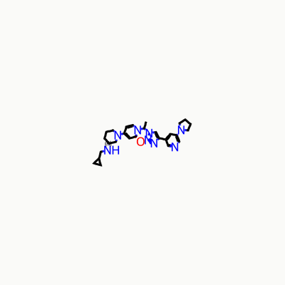 CC(n1cc(-c2cncc(N3CCCC3)c2)nn1)n1ccc(N2CCC[C@@H](NCC3CC3)C2)cc1=O